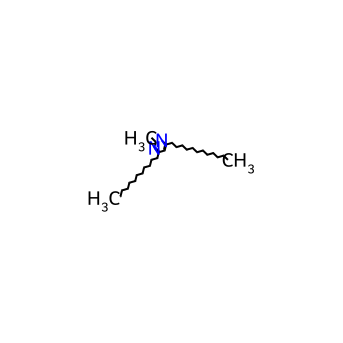 CCCCCCCCCCCCc1cc(CCCCCCCCCCCC)nc(C)n1